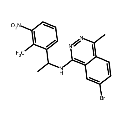 Cc1nnc(NC(C)c2cccc([N+](=O)[O-])c2C(F)(F)F)c2cc(Br)ccc12